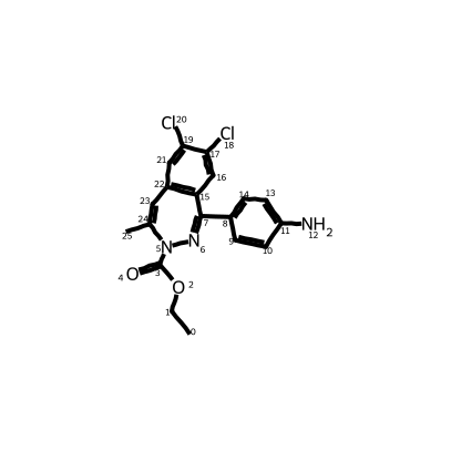 CCOC(=O)N1N=C(c2ccc(N)cc2)c2cc(Cl)c(Cl)cc2C=C1C